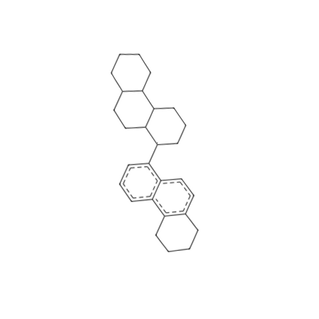 c1cc([C]2CCCC3C2CCC2CCCCC23)c2ccc3c(c2c1)CCCC3